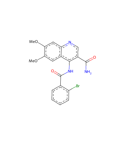 COc1cc2ncc(C(N)=O)c(NC(=O)c3ccccc3Br)c2cc1OC